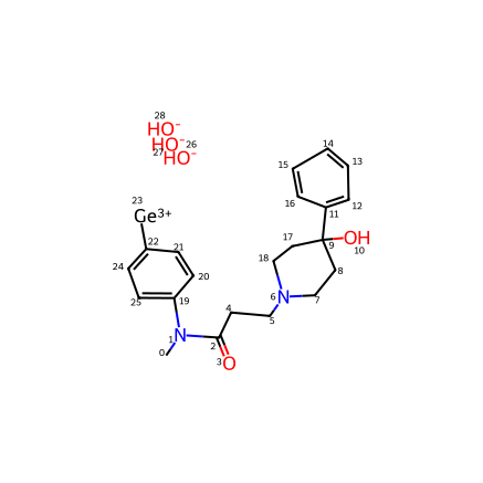 CN(C(=O)CCN1CCC(O)(c2ccccc2)CC1)c1cc[c]([Ge+3])cc1.[OH-].[OH-].[OH-]